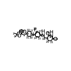 CC(C)(C)OC(=O)CC1(O)CCN(c2ccc(NCC3CCC(=O)NC3=O)cc2F)CC1